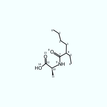 CCCCC(CC)C(=O)N[C@@H](C)C(=O)O